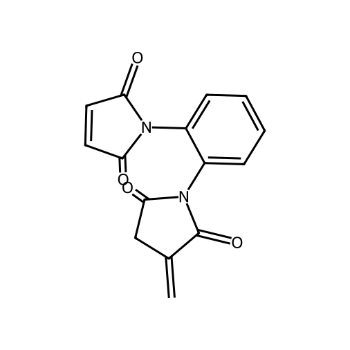 C=C1CC(=O)N(c2ccccc2N2C(=O)C=CC2=O)C1=O